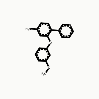 Nc1ccc(-c2cccnc2)c(Oc2cccc(OC(F)(F)F)c2)c1